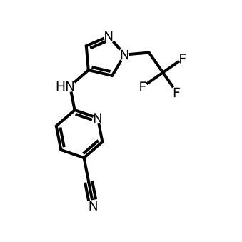 N#Cc1ccc(Nc2cnn(CC(F)(F)F)c2)nc1